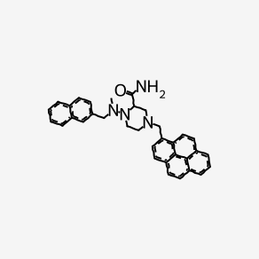 CN(Cc1ccc2ccccc2c1)N1CCN(Cc2ccc3ccc4cccc5ccc2c3c45)CC1C(N)=O